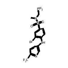 CN(CP)S(=O)(=O)c1ccc(Nc2ccc(C(F)(F)F)nc2)c(Br)c1